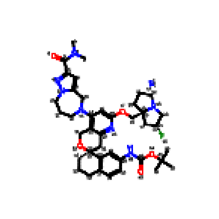 CN(C)C(=O)c1cc2n(n1)CCCN(c1cc(OC[C@@]34CCCN3C[C@H](F)C4)nc3c1CO[C@@]1(CCCc4ccc(NC(=O)OC(C)(C)C)cc41)C3)C2.[N]